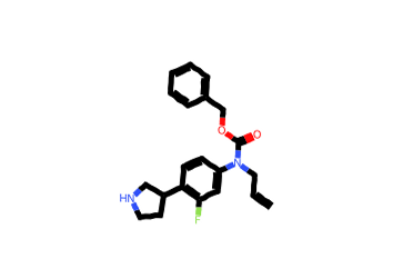 C=CCN(C(=O)OCc1ccccc1)c1ccc(C2CCNC2)c(F)c1